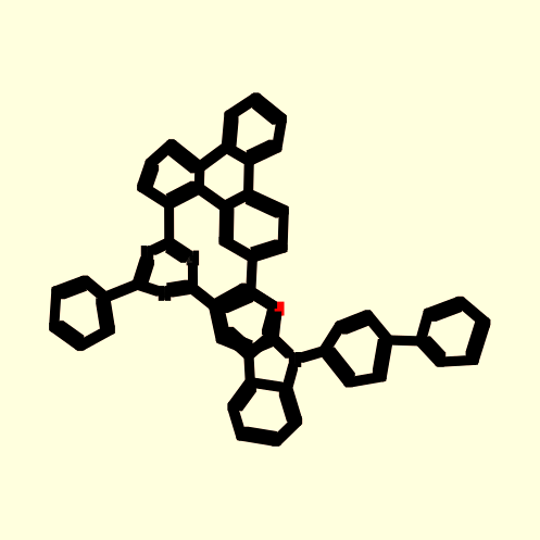 c1ccc(-c2ccc(-n3c4ccccc4c4ccc(-c5ccc6c7ccccc7c7cccc(-c8nc(-c9ccccc9)nc(-c9ccccc9)n8)c7c6c5)cc43)cc2)cc1